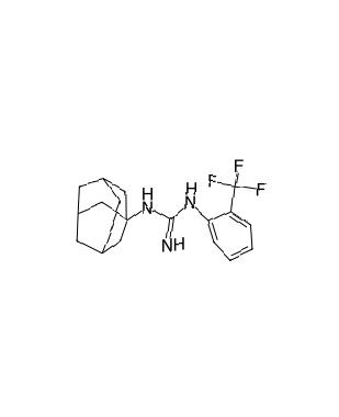 N=C(Nc1ccccc1C(F)(F)F)NC12CC3CC(CC(C3)C1)C2